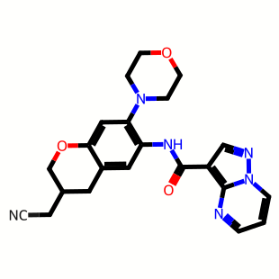 N#CCC1COc2cc(N3CCOCC3)c(NC(=O)c3cnn4cccnc34)cc2C1